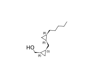 CCCCC[C@@H]1C[C@@H]1C[C@H]1C[C@H]1CO